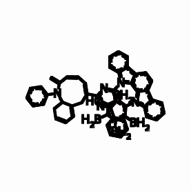 Bc1c(B)c(O)c(B)c(-n2c3ccccc3c3ccc4c5ccccc5n(-c5nc(/C6=C/C=C\C(=C)N(c7ccccc7)C7CC=CC=C7C6)nc(-c6ccccc6)n5)c4c32)c1B